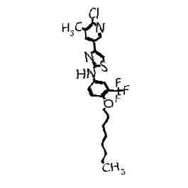 CCCCCCCCOc1ccc(Nc2nc(-c3cnc(Cl)c(C)c3)cs2)cc1C(F)(F)F